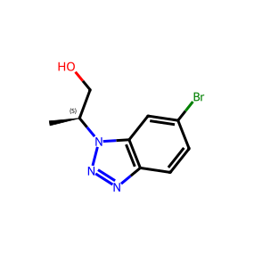 C[C@@H](CO)n1nnc2ccc(Br)cc21